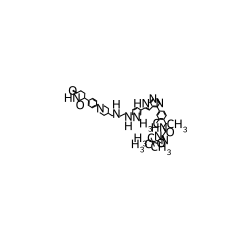 Cc1cc(-c2ncnc3[nH]c(-c4ccc(NCCNCC5CCN(c6ccc(C7CCC(=O)NC7=O)cc6)CC5)nc4)cc23)ccc1[C@@H](C)NC(=O)c1noc(C(C)(C)C)n1